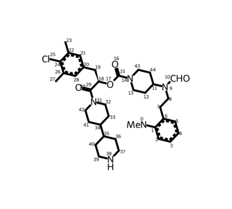 CNc1ccccc1CCN(C=O)C1CCN(C(=O)O[C@H](Cc2cc(C)c(Cl)c(C)c2)C(=O)N2CCC(C3CCNCC3)CC2)CC1